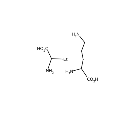 CCC(N)C(=O)O.NCCCC(N)C(=O)O